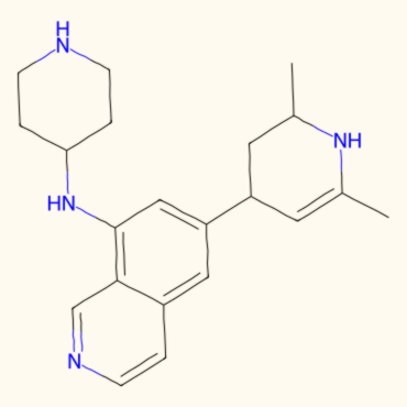 CC1=CC(c2cc(NC3CCNCC3)c3cnccc3c2)CC(C)N1